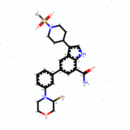 CCS(=O)(=O)N1CCC(c2c[nH]c3c(C(N)=O)cc(-c4cccc(N5CCOCC5S)c4)cc23)CC1